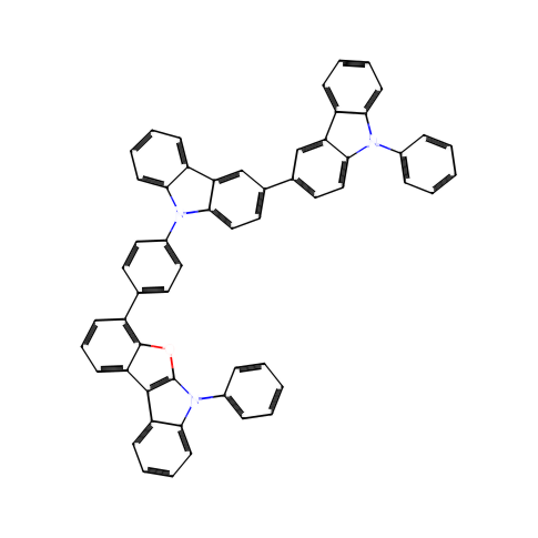 c1ccc(-n2c3ccccc3c3cc(-c4ccc5c(c4)c4ccccc4n5-c4ccc(-c5cccc6c5oc5c6c6ccccc6n5-c5ccccc5)cc4)ccc32)cc1